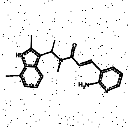 Cc1[nH]c2c(C)cccc2c1C(C)N(C)C(=O)C=Cc1cccnc1N